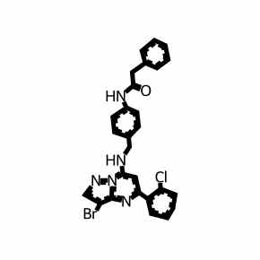 O=C(Cc1ccccc1)Nc1ccc(CNc2cc(-c3ccccc3Cl)nc3c(Br)cnn23)cc1